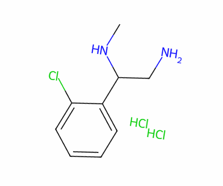 CNC(CN)c1ccccc1Cl.Cl.Cl